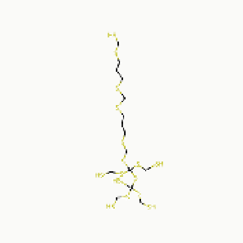 SCSCCCSCSCCCSCSC(SCS)(SCS)SC(S)(SCS)SCS